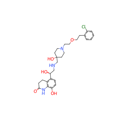 O=C1CCc2c([C@@H](O)CNCC3(O)CCN(CCOCCc4ccccc4Cl)CC3)ccc(O)c2N1